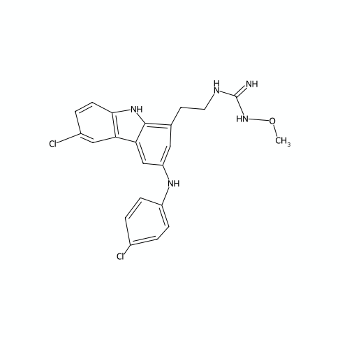 CONC(=N)NCCc1cc(Nc2ccc(Cl)cc2)cc2c1[nH]c1ccc(Cl)cc12